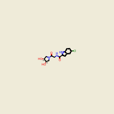 O=C(NCC(=O)N1C[C@@H](O)[C@@H](O)C1)c1cc2cc(Cl)ccc2[nH]1